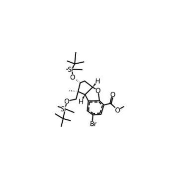 COC(=O)c1cc(Br)cc2c1O[C@H]1C[C@@H](O[Si](C)(C)C(C)(C)C)[C@](C)(CO[Si](C)(C)C(C)(C)C)[C@@H]21